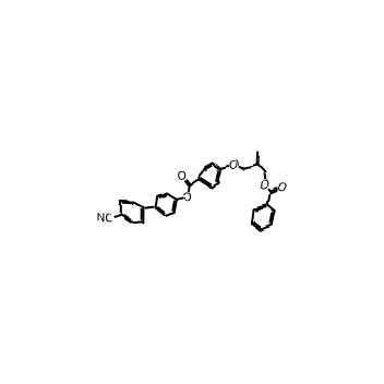 CC(COC(=O)c1ccccc1)COc1ccc(C(=O)Oc2ccc(-c3ccc(C#N)cc3)cc2)cc1